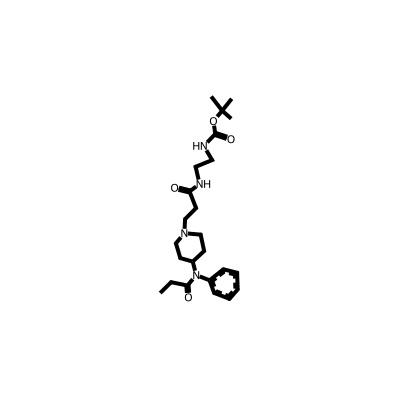 CCC(=O)N(c1ccccc1)C1CCN(CCC(=O)NCCNC(=O)OC(C)(C)C)CC1